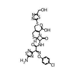 Nc1nc(C(=NOc2ccc(Cl)cc2)C(=O)NC2C(=O)N3C(C(=O)O)=C(CSc4nnc(CO)s4)CS[C@@H]23)ns1